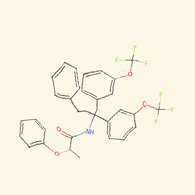 CC(Oc1ccccc1)C(=O)NC(Cc1ccccc1)(c1cccc(OC(F)(F)F)c1)c1cccc(OC(F)(F)F)c1